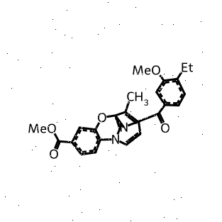 CCc1ccc(C(=O)N2CCC34Oc5cc(C(=O)OC)ccc5N(C=CC=C3C)C4C2)cc1OC